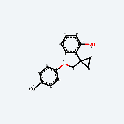 CC(C)(C)c1ccc(OCC2(c3ccccc3O)CC2)cc1